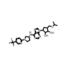 CC(C)OCC1CC(n2cnc3c(N[C@H]4CCN(c5ccc(C(F)(F)F)cn5)C4)ncnc32)C(O)C1O